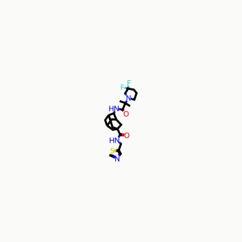 CC(C)(C(=O)NC1C2CC3CC1CC(C(=O)NCc1cncs1)(C3)C2)N1CCCC(F)(F)C1